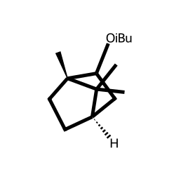 CC(C)COC1C[C@H]2CC[C@@]1(C)C2(C)C